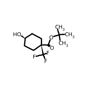 CC(C)(C)OC(=O)[C@]1(C(F)(F)F)CC[C@@H](O)CC1